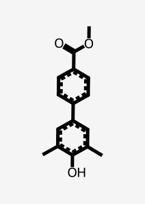 COC(=O)c1ccc(-c2cc(C)c(O)c(C)c2)cc1